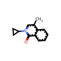 Cc1cn(C2CC2)c(=O)c2ccccc12